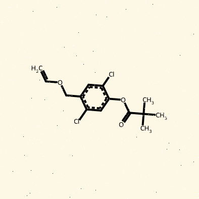 C=COCc1cc(Cl)c(OC(=O)C(C)(C)C)cc1Cl